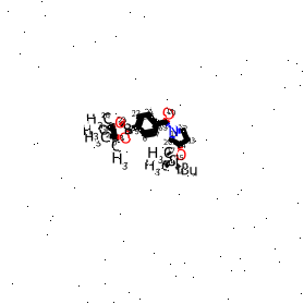 CC1(C)OB(c2ccc(C(=O)N3CCC(O[Si](C)(C)C(C)(C)C)C3)cc2)OC1(C)C